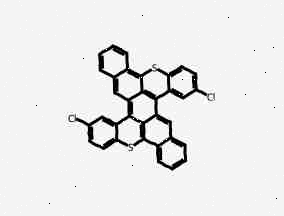 Clc1ccc2sc3c4ccccc4cc4c5c6cc(Cl)ccc6sc6c7ccccc7cc(c(c2c1)c43)c65